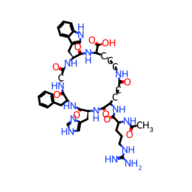 CC(=O)NC(CCCNC(=N)N)C(=O)NC1CCC(=O)NCCCC(C(=O)O)NC(=O)[C@H](Cc2c[nH]c3ccccc23)NC(=O)CNC(=O)C(Cc2ccccc2)NC(=O)[C@H](Cc2c[nH]cn2)NC1=O